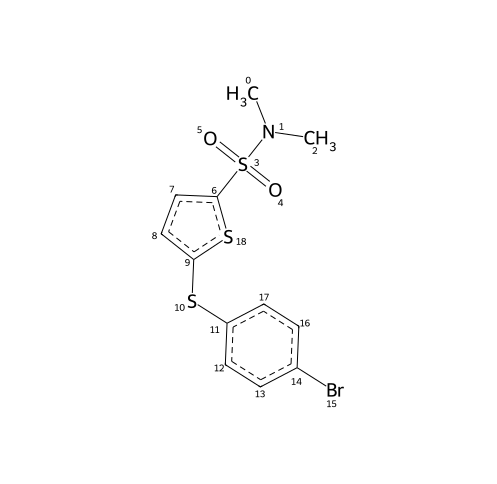 CN(C)S(=O)(=O)c1ccc(Sc2ccc(Br)cc2)s1